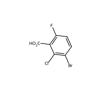 O=C(O)c1c(F)ccc(Br)c1Cl